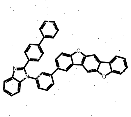 c1ccc(-c2ccc(-c3nc4ccccc4n3-c3cccc(-c4ccc5oc6cc7c(cc6c5c4)oc4ccccc47)c3)cc2)cc1